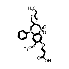 CCCC[C@@]1(CC)CN(c2ccccc2)c2cc(SC)c(O/C=C/C(=O)O)cc2S(=O)(=O)C1